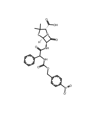 CC1(C)S[C@@H]2[C@H](NC(=O)C(NC(=O)OCc3ccc([N+](=O)[O-])cc3)c3ccccc3)C(=O)N2[C@H]1C(=O)O